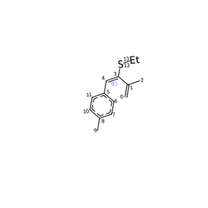 C=C(C)/C(=C\c1ccc(C)cc1)SCC